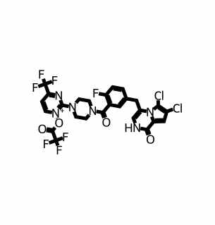 O=C(c1cc(Cc2c[nH]c(=O)c3cc(Cl)c(Cl)n23)ccc1F)N1CCN(c2nc(C(F)(F)F)cc[n+]2OC(=O)C(F)(F)F)CC1